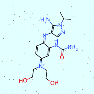 CC(C)n1ncc(/N=C2/C=CC(=[N+](CCO)CCO)C=C2NC(N)=O)c1N